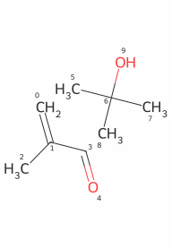 C=C(C)C=O.CC(C)(C)O